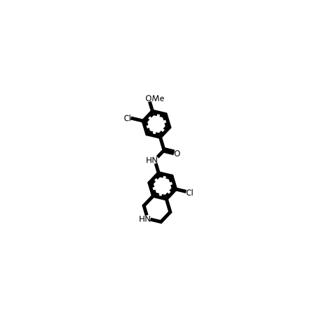 COc1ccc(C(=O)Nc2cc(Cl)c3c(c2)CNCC3)cc1Cl